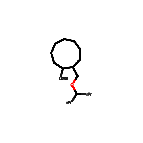 CCCC(CCC)OCC1CCCCCCCC1OC